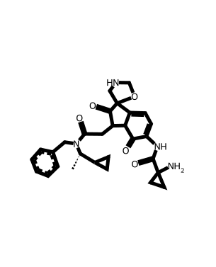 C[C@@H](C1CC1)N(Cc1ccccc1)C(=O)CC1C(=O)C2(CNCO2)C2=CC=C(NC(=O)C3(N)CC3)C(=O)C21